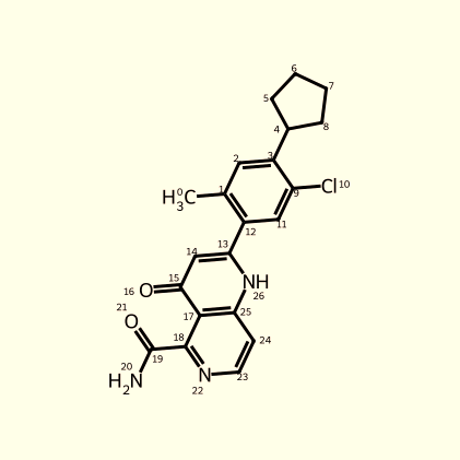 Cc1cc(C2CCCC2)c(Cl)cc1-c1cc(=O)c2c(C(N)=O)nccc2[nH]1